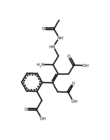 CC(=O)NNCC(N)C(CC(=O)O)=C(CC(=O)O)c1ccccc1CC(=O)O